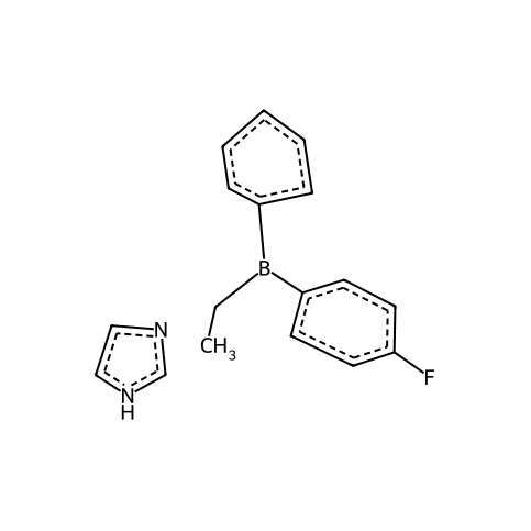 CCB(c1ccccc1)c1ccc(F)cc1.c1c[nH]cn1